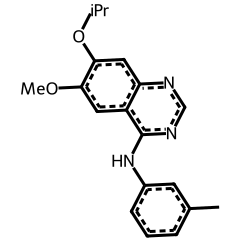 COc1cc2c(Nc3cccc(C)c3)ncnc2cc1OC(C)C